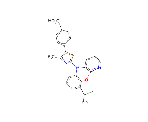 CCCC(F)c1ccccc1Oc1ncccc1Nc1nc(C(F)(F)F)c(-c2ccc(C(=O)O)cc2)s1